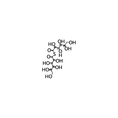 O=C(SC(=O)[C@H](O)[C@@H](O)[C@@H](O)[C@H](O)CO)[C@H](O)[C@@H](O)[C@@H](O)[C@H](O)CO